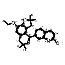 CCOc1cc2c(c3c1OC(C)(C)C3)C(c1ccc3ccc(O)nc3c1)=NC(C)(C)C2